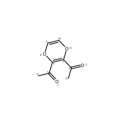 CC(=O)C1=C(C(C)=O)OC=CO1